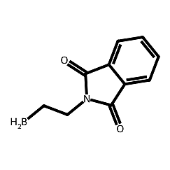 BCCN1C(=O)c2ccccc2C1=O